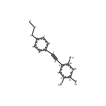 CCCc1ccc(C#Cc2cc(F)c(F)nc2F)cc1